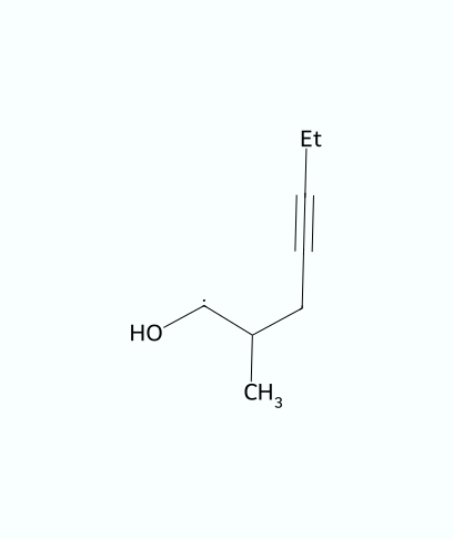 CCC#CCC(C)[CH]O